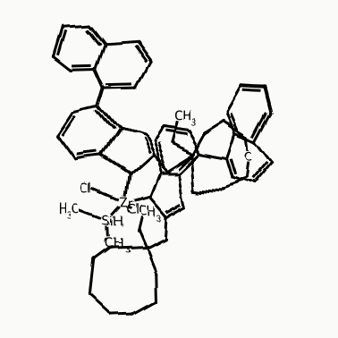 CCC1(CC2=Cc3c(-c4cccc5ccccc45)cccc3[CH]2[Zr]([Cl])([Cl])([CH]2C(CC3(CC)CCCCCCC3)=Cc3c(-c4cccc5ccccc45)cccc32)[SiH](C)C)CCCCCCC1